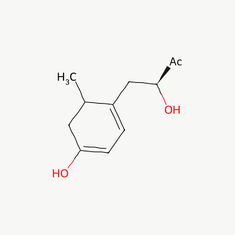 CC(=O)[C@@H](O)CC1=CC=C(O)CC1C